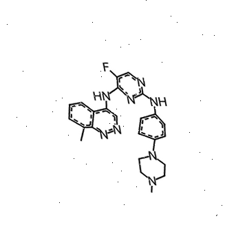 Cc1cccc2c(Nc3nc(Nc4ccc(N5CCN(C)CC5)cc4)ncc3F)cnnc12